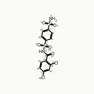 NS(=O)(=O)c1ccc(S(=O)(=O)NC(=O)c2ccc(Cl)cc2Cl)cc1